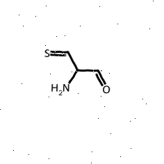 NC([C]=O)C=S